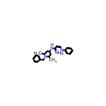 CC1CC(NC(=N)/C=C\Nc2ccccc2)CC(C)N1Cc1ccccc1